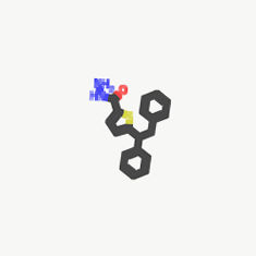 NNC(=O)c1ccc(C(Cc2ccccc2)c2ccccc2)s1